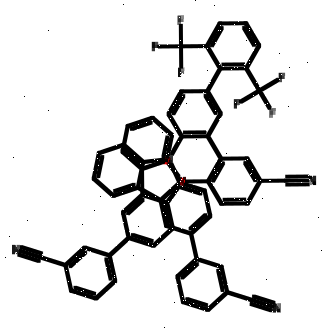 N#Cc1cccc(-c2ccc3c(c2)c2ccccc2n3-c2ccc(C#N)cc2-c2cc(-c3c(C(F)(F)F)cccc3C(F)(F)F)ccc2-n2c3ccccc3c3cc(-c4cccc(C#N)c4)ccc32)c1